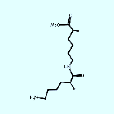 COC(=O)[C@@H](C)CCCCNC(=O)[C@@H](C)CCCCN